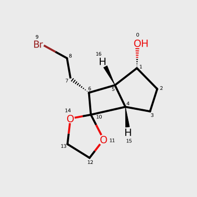 O[C@@H]1CC[C@H]2[C@@H]1[C@@H](CCBr)C21OCCO1